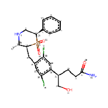 C[C@@H]1NC[C@@H](c2ccccc2)S(=O)(=O)C1Cc1cc(F)c(C(CO)CCC(N)=O)cc1F